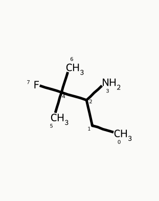 CCC(N)C(C)(C)F